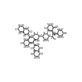 C=C(c1ccc(-c2ccc3c(-c4ccc5ccccc5c4)c4ccccc4c(-c4ccc5ccccc5c4)c3c2)cc1)N(c1ccccc1)c1ccccc1C